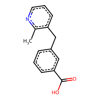 Cc1ncccc1Cc1cccc(C(=O)O)c1